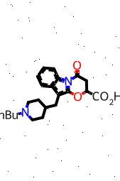 CCCCN1CCC(Cc2c3n(c4ccccc24)C(=O)CC(C(=O)O)O3)CC1